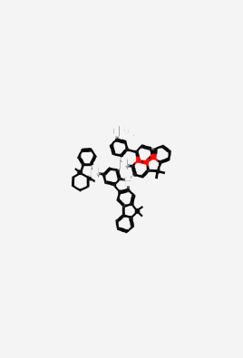 CC(C)(C)c1ccc(N2c3cc4c(cc3B3c5cc6c(cc5-c5cc(N7c8ccccc8C8(C)CCCCC78C)cc2c53)-c2ccccc2C6(C)C)C(C)(C)c2ccccc2-4)c(-c2ccccc2)c1